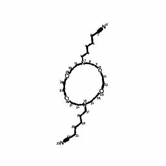 N#CCCCCCN1CCOCCOCCN(CCCCCC#N)CCOCCOCC1